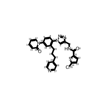 O=C(NCc1cn(-c2ccc(-n3ccccc3=O)cc2CCCc2ccncc2)nn1)c1ccc(Cl)s1